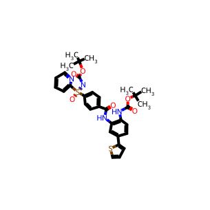 CC(C)(C)OC(=O)N=S(=O)(c1ccc(C(=O)Nc2cc(-c3cccs3)ccc2NC(=O)OC(C)(C)C)cc1)c1ccccn1